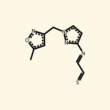 Cc1cc(Cn2ccc(N=CC=S)n2)no1